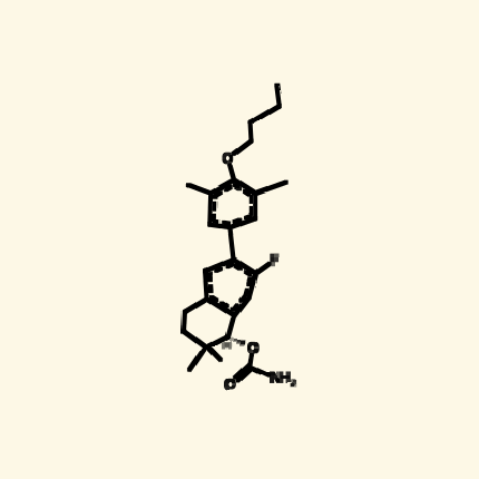 CCCCOc1c(C)cc(-c2cc3c(cc2F)[C@H](OC(N)=O)C(C)(C)CC3)cc1C